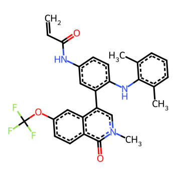 C=CC(=O)Nc1ccc(Nc2c(C)cccc2C)c(-c2cn(C)c(=O)c3ccc(OC(F)(F)F)cc23)c1